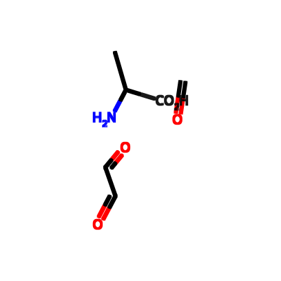 C=O.CC(N)C(=O)O.O=CC=O